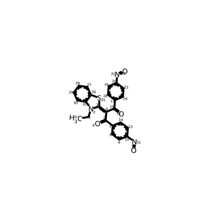 CCN1C(=C(C(=O)c2ccc(N=O)cc2)C(=O)c2ccc(N=O)cc2)Sc2ccccc21